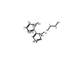 CCCC.Cn1ccnc1.Cn1ccnc1